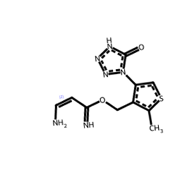 Cc1scc(-n2nn[nH]c2=O)c1COC(=N)/C=C\N